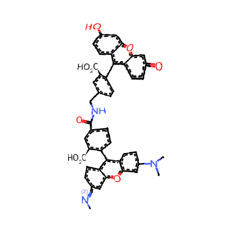 C/N=c1/ccc2c(-c3ccc(C(=O)NCc4ccc(-c5c6ccc(=O)cc-6oc6cc(O)ccc56)c(C(=O)O)c4)cc3C(=O)O)c3ccc(N(C)C)cc3oc-2c1